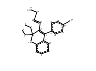 CCC1(CC)Oc2ccccc2C(c2ccc(F)cc2)=C1C=CCO